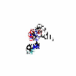 CCCCn1c(/C=C/c2cnn(Cc3ccccc3C(F)(F)F)c2)c([N+](=O)[O-])c(=O)n(CC(C)C)c1=O